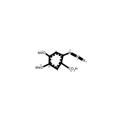 COc1cc(N=[N+]=[N-])c(C(=O)O)cc1OC